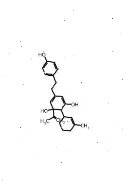 C=C(C)C1(O)C=C(CCc2ccc(O)cc2)C=C(O)C1C1C=C(C)CCC1